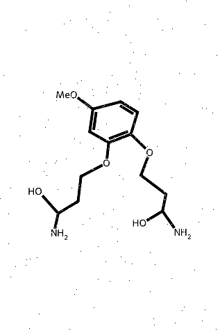 COc1ccc(OCCC(N)O)c(OCCC(N)O)c1